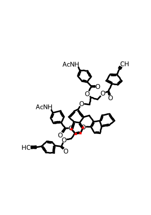 C#Cc1ccc(C(=O)OCC(COc2ccc3ccccc3c2Cc2c(OCC(COC(=O)c3ccc(C#C)cc3)OC(=O)c3ccc(NC(C)=O)cc3)ccc3ccccc23)OC(=O)c2ccc(NC(C)=O)cc2)cc1